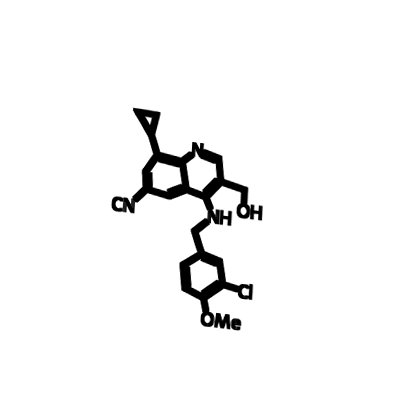 [C-]#[N+]c1cc(C2CC2)c2ncc(CO)c(NCc3ccc(OC)c(Cl)c3)c2c1